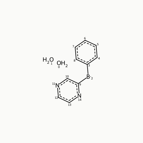 O.O.[B](c1ccccc1)c1cnccn1